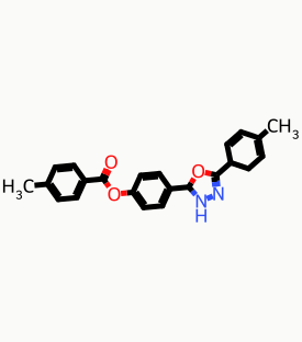 CC1=CCC(C2=NNC(c3ccc(OC(=O)c4ccc(C)cc4)cc3)O2)C=C1